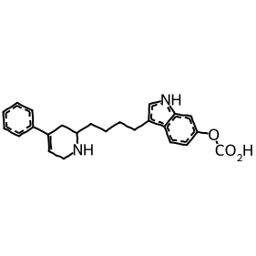 O=C(O)Oc1ccc2c(CCCCC3CC(c4ccccc4)=CCN3)c[nH]c2c1